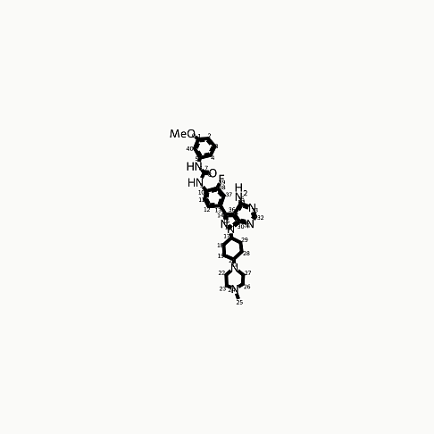 COc1cccc(NC(=O)Nc2ccc(-c3nn(C4CCC(N5CCN(C)CC5)CC4)c4ncnc(N)c34)cc2F)c1